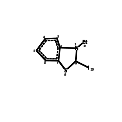 CCN1c2ccccc2SC1I